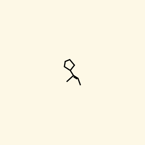 CC=C(C)C1CCCC1